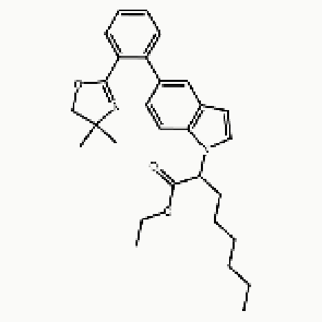 CCCCCCC(C(=O)OCC)n1ccc2cc(-c3ccccc3C3=NC(C)(C)CO3)ccc21